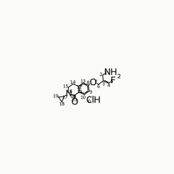 Cl.NC/C(=C\F)COc1ccc2c(c1)CCN(C1CC1)C2=O